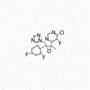 CC1(c2ncnc(Cl)c2F)OC1(Cn1cncn1)c1ccc(F)cc1F